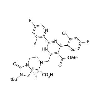 COC(=O)C1=C(CN2CCN3C(=O)N(C(C)(C)C)C[C@@H]3[C@H]2C(=O)O)NC(c2ncc(F)cc2F)=N[C@H]1c1ccc(F)cc1Cl